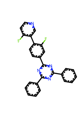 Fc1cc(-c2nc(-c3ccccc3)nc(-c3ccccc3)n2)ccc1-c1cnccc1F